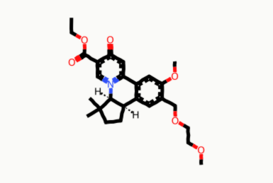 CCOC(=O)c1cn2c(cc1=O)-c1cc(OC)c(COCCOC)cc1[C@H]1CCC(C)(C)[C@H]12